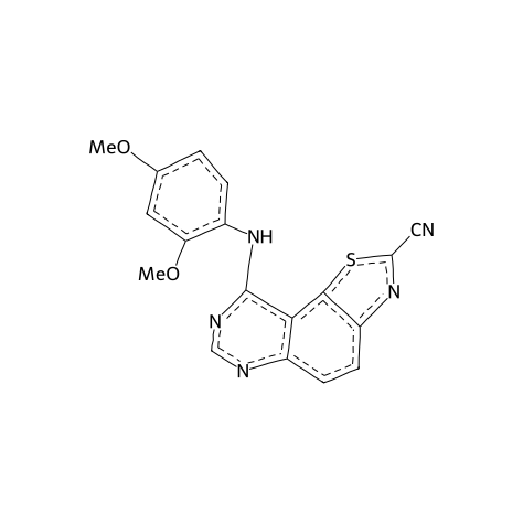 COc1ccc(Nc2ncnc3ccc4nc(C#N)sc4c23)c(OC)c1